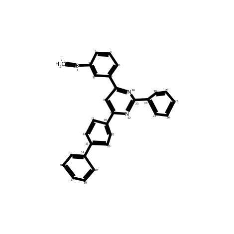 C=Bc1cccc(-c2cc(-c3ccc(-c4ccccc4)cc3)nc(-c3ccccc3)n2)c1